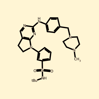 CN1CCN(Cc2ccc(Nc3ncc4c(n3)N(c3cccc(S(=O)(=O)NC(C)(C)C)c3)CC4)cc2)CC1